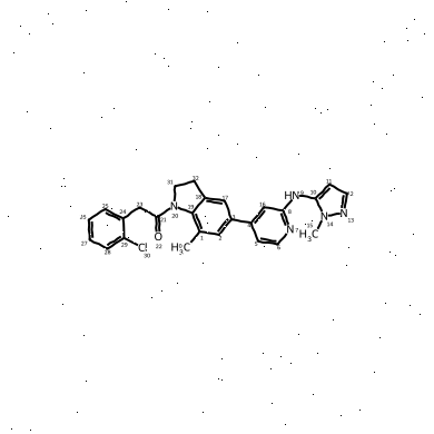 Cc1cc(-c2ccnc(Nc3ccnn3C)c2)cc2c1N(C(=O)Cc1ccccc1Cl)CC2